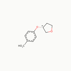 O=C(O)c1ccc(O[C@@H]2CCOC2)cc1